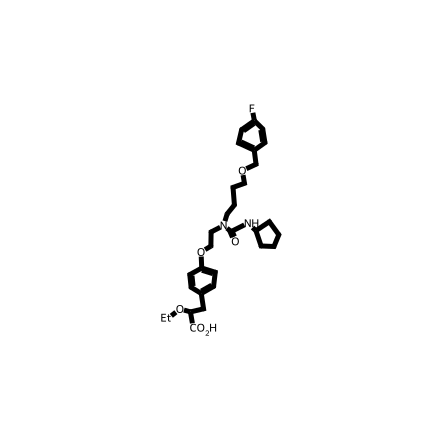 CCOC(Cc1ccc(OCCN(CCCCOCc2ccc(F)cc2)C(=O)NC2CCCC2)cc1)C(=O)O